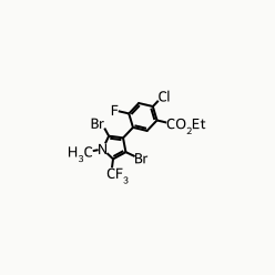 CCOC(=O)c1cc(-c2c(Br)c(C(F)(F)F)n(C)c2Br)c(F)cc1Cl